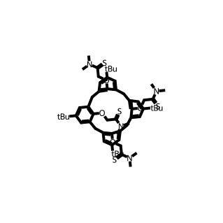 CN(C)C(=S)COc1c2cc(C(C)(C)C)cc1Cc1cc(C(C)(C)C)cc(c1OCC(=S)N(C)C)Cc1cc(C(C)(C)C)cc(c1OCC(=S)N(C)C)Cc1cc(C(C)(C)C)cc(c1OCC(=S)N(C)C)C2